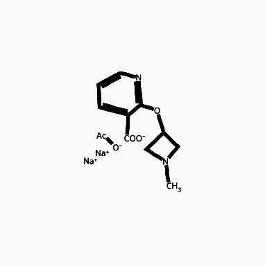 CC(=O)[O-].CN1CC(Oc2ncccc2C(=O)[O-])C1.[Na+].[Na+]